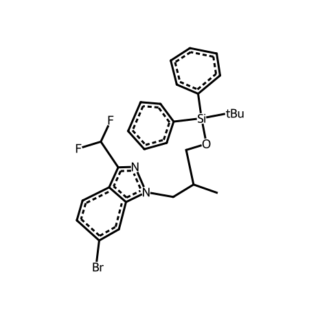 CC(CO[Si](c1ccccc1)(c1ccccc1)C(C)(C)C)Cn1nc(C(F)F)c2ccc(Br)cc21